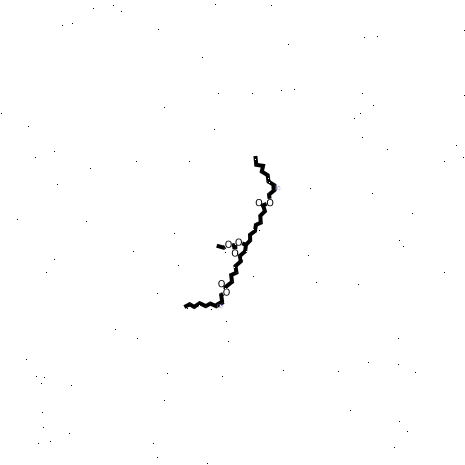 CCCCCC/C=C\COC(=O)CCCCCCCC(CCCCCCCC(=O)OC/C=C\CCCCCC)OC(=O)OCC